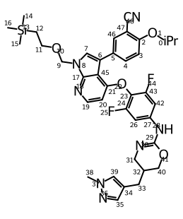 CC(C)Oc1ccc(-c2cn(COCC[Si](C)(C)C)c3nccc(Oc4c(F)cc(NC5=NCC(Cc6cnn(C)c6)CO5)cc4F)c23)cc1C#N